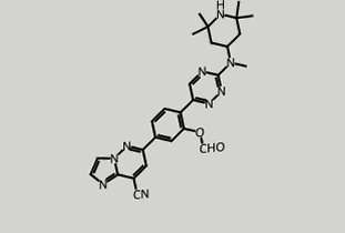 CN(c1ncc(-c2ccc(-c3cc(C#N)c4nccn4n3)cc2OC=O)nn1)C1CC(C)(C)NC(C)(C)C1